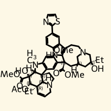 CC[C@]1(O)C[C@H]2CN(CCc3c([nH]c4ccc(-c5nccs5)cc34)[C@@](C(=O)OC)(c3cc4c(cc3OC)N(C)[C@H]3[C@@](O)(C(=O)OC)[C@H](OC(C)=O)[C@]5(CC)C=CCN6CC[C@]43[C@@H]65)C2)C1